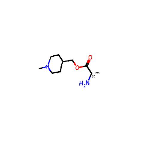 C[C@H](N)C(=O)OCC1CCN(C)CC1